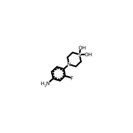 Nc1ccc(N2CCS(O)(O)CC2)c(F)c1